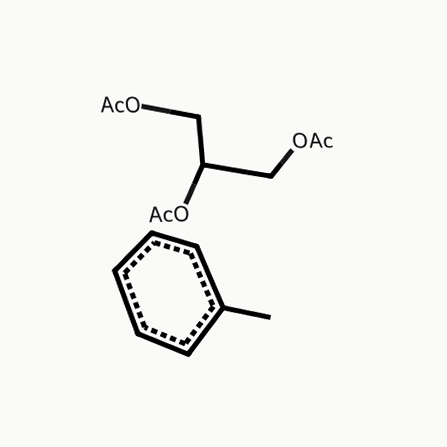 CC(=O)OCC(COC(C)=O)OC(C)=O.Cc1ccccc1